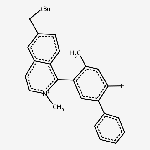 Cc1cc(F)c(-c2ccccc2)cc1-c1c2ccc(CC(C)(C)C)cc2cc[n+]1C